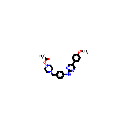 COc1ccc(-c2cnc(Nc3ccc(CN4CCN(OC(C)=O)CC4)cc3)nc2)cc1